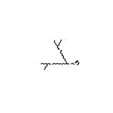 CCCCCC(CCCCC)CCOC(=O)CCCCCCCCC(CCCCCCCCC(=O)OCCC(CCCCC)CCCCC)C(=O)OCCCN1CCOCC1